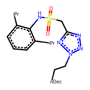 CCCCCCCCCCCCn1nnc(CS(=O)(=O)Nc2c(C(C)C)cccc2C(C)C)n1